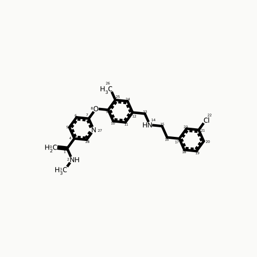 C=C(NC)c1ccc(Oc2ccc(CNCCc3cccc(Cl)c3)cc2C)nc1